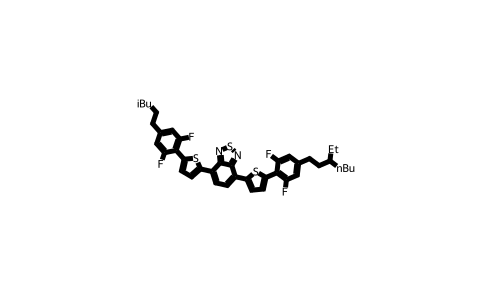 CCCCC(CC)CCc1cc(F)c(-c2ccc(-c3ccc(-c4ccc(-c5c(F)cc(CCC(C)CC)cc5F)s4)c4nsnc34)s2)c(F)c1